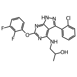 CC(O)CNc1nc(Oc2cccc(F)c2F)nc2[nH]nc(-c3ccccc3Cl)c12